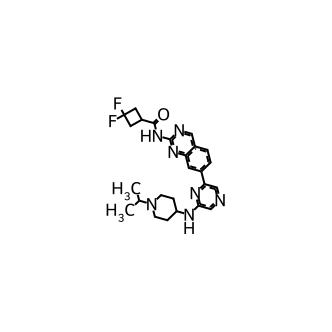 CC(C)N1CCC(Nc2cncc(-c3ccc4cnc(NC(=O)C5CC(F)(F)C5)nc4c3)n2)CC1